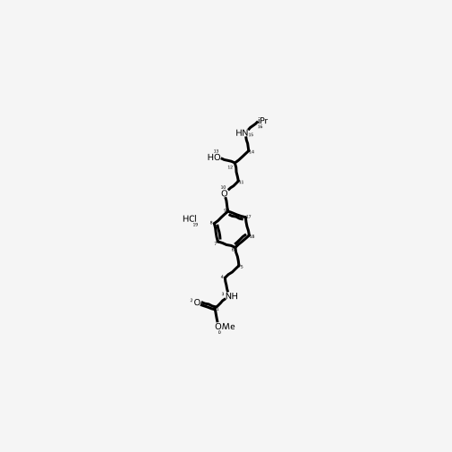 COC(=O)NCCc1ccc(OCC(O)CNC(C)C)cc1.Cl